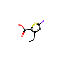 CCc1cc(I)sc1C(=O)O